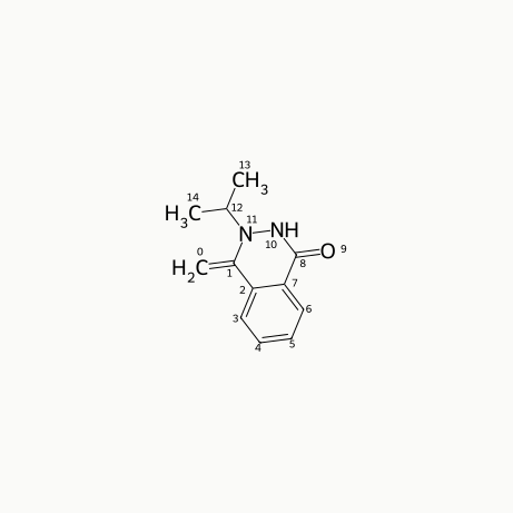 C=C1c2ccccc2C(=O)NN1C(C)C